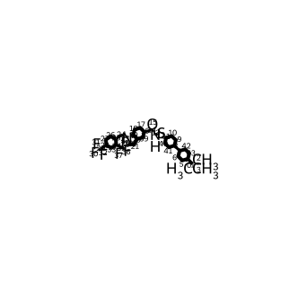 CC(C)(C)c1ccc(-c2ccc(SNC(=O)c3ccc4c(ccn4Cc4ccc(C(F)(F)F)cc4C(F)(F)F)c3)cc2)cc1